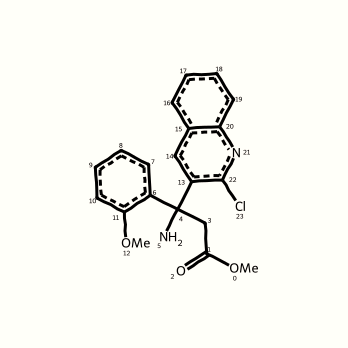 COC(=O)CC(N)(c1ccccc1OC)c1cc2ccccc2nc1Cl